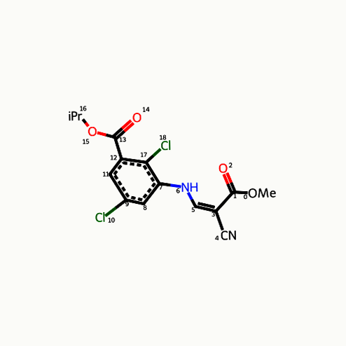 COC(=O)C(C#N)=CNc1cc(Cl)cc(C(=O)OC(C)C)c1Cl